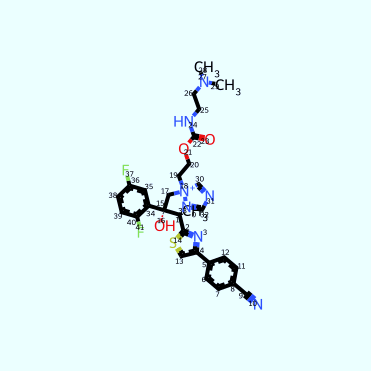 C[C@@H](c1nc(-c2ccc(C#N)cc2)cs1)[C@](O)(C[N+]1(CCOC(=O)NCCN(C)C)C=NC=N1)c1cc(F)ccc1F